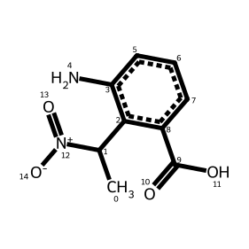 CC(c1c(N)cccc1C(=O)O)[N+](=O)[O-]